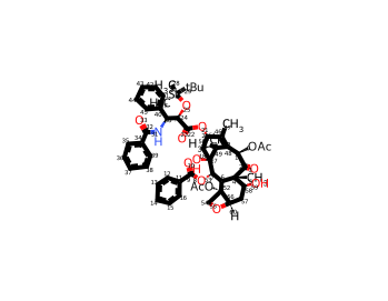 CC(=O)O[C@H]1C(=O)[C@@]2(C)C([C@H](OC(=O)c3ccccc3)[C@]3(O)C[C@H](OC(=O)[C@H](O[Si](C)(C)C(C)(C)C)[C@@H](NC(=O)c4ccccc4)c4ccccc4)C(C)=C1C3(C)C)[C@]1(OC(C)=O)CO[C@@H]1C[C@@H]2O